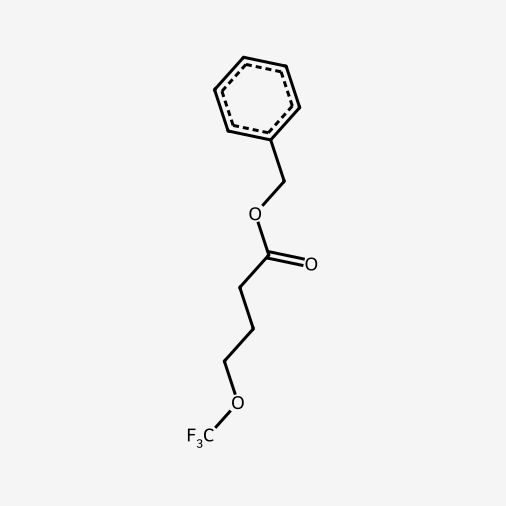 O=C(CCCOC(F)(F)F)OCc1ccccc1